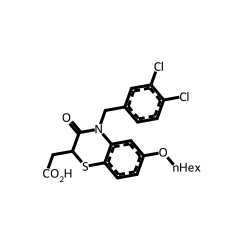 CCCCCCOc1ccc2c(c1)N(Cc1ccc(Cl)c(Cl)c1)C(=O)C(CC(=O)O)S2